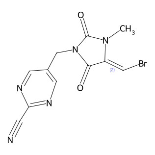 CN1C(=O)N(Cc2cnc(C#N)nc2)C(=O)/C1=C/Br